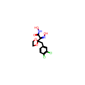 O=C(NO)C(=NO)C1(Cc2ccc(Cl)c(Cl)c2)OCCO1